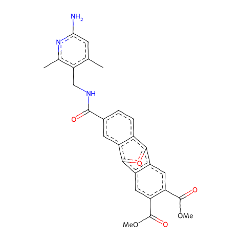 COC(=O)c1cc2c(cc1C(=O)OC)c1oc2c2ccc(C(=O)NCc3c(C)cc(N)nc3C)cc21